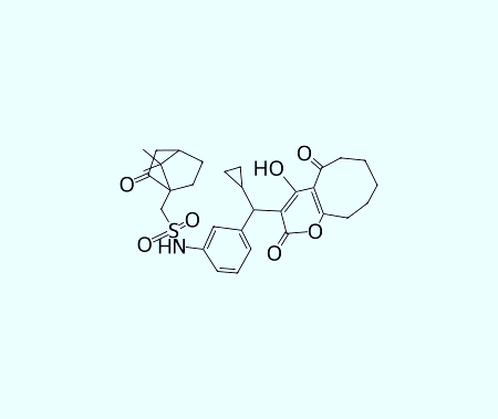 CC1(C)C2CCC1(CS(=O)(=O)Nc1cccc(C(c3c(O)c4c(oc3=O)CCCCCC4=O)C3CC3)c1)C(=O)C2